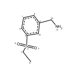 CCS(=O)(=O)c1cccc(CN)c1